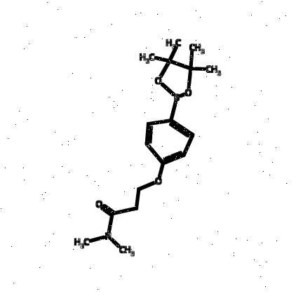 CN(C)C(=O)CCOc1ccc(B2OC(C)(C)C(C)(C)O2)cc1